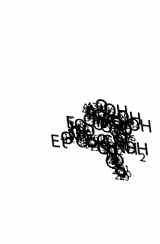 CCOCn1cc(F)c(=O)n(C(=O)c2cccc(C(=O)Oc3nc(OC(=O)c4ccccc4)ccc3C#N)c2)c1=O.COc1cccc2c1C(=O)c1c(O)c3c(c(O)c1C2=O)C[C@@](O)(C(=O)CO)C[C@@H]3O[C@H]1C[C@H](N)[C@@H](O)[C@H](C)O1